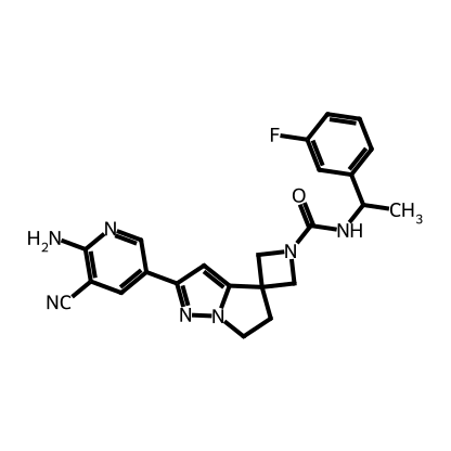 CC(NC(=O)N1CC2(CCn3nc(-c4cnc(N)c(C#N)c4)cc32)C1)c1cccc(F)c1